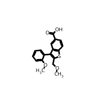 COCc1sc2ccc(C(=O)O)cc2c1-c1ccccc1OC